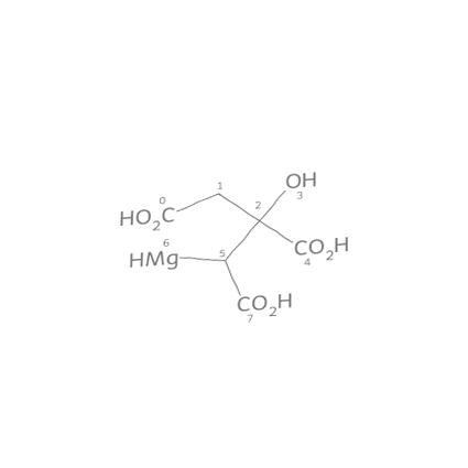 O=C(O)CC(O)(C(=O)O)[CH]([MgH])C(=O)O